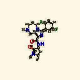 CC1C[C@H](NC(=O)c2nc(-c3cc(F)ccc3F)n3c2CN(C)CCC3)C(=O)N1C